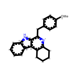 COc1ccc(Cc2nc3c(c4c2[nH]c2ccccc24)CCCC3)cc1